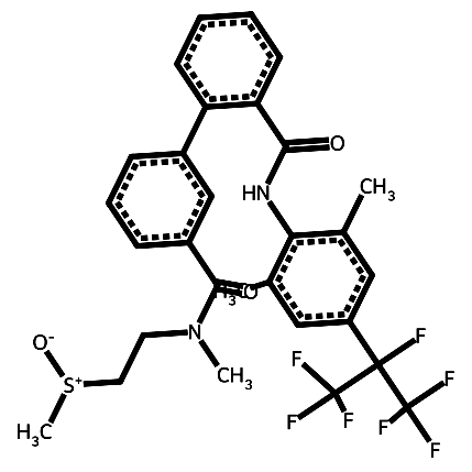 Cc1cc(C(F)(C(F)(F)F)C(F)(F)F)cc(C)c1NC(=O)c1ccccc1-c1cccc(C(=O)N(C)CC[S+](C)[O-])c1